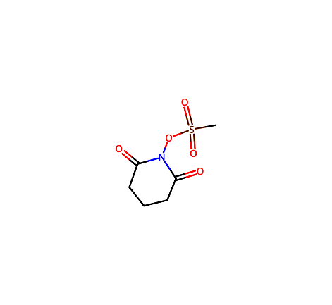 CS(=O)(=O)ON1C(=O)CCCC1=O